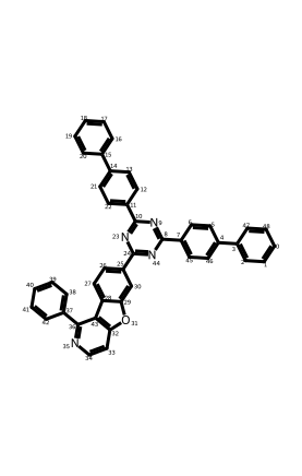 c1ccc(-c2ccc(-c3nc(-c4ccc(-c5ccccc5)cc4)nc(-c4ccc5c(c4)oc4ccnc(-c6ccccc6)c45)n3)cc2)cc1